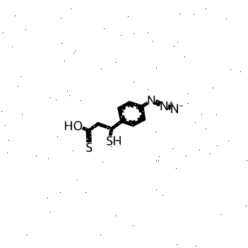 [N-]=[N+]=Nc1ccc(C(S)CC(O)=S)cc1